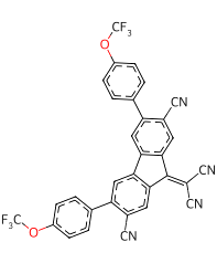 N#CC(C#N)=C1c2cc(C#N)c(-c3ccc(OC(F)(F)F)cc3)cc2-c2cc(-c3ccc(OC(F)(F)F)cc3)c(C#N)cc21